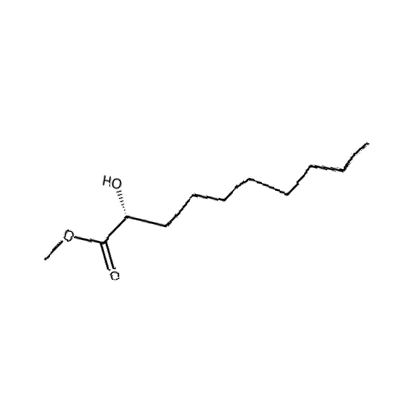 CCCCCCCC[C@@H](O)C(=O)OC